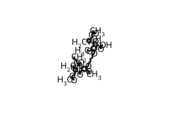 C=CCOC(=O)Nc1cc(OCCCCCOc2cc(NC(=O)O)c(C(=O)N3CC(=C)CC3COC(C)=O)cc2OC)c(OC)cc1C(=O)N1CC(=C)CC1COC(C)=O